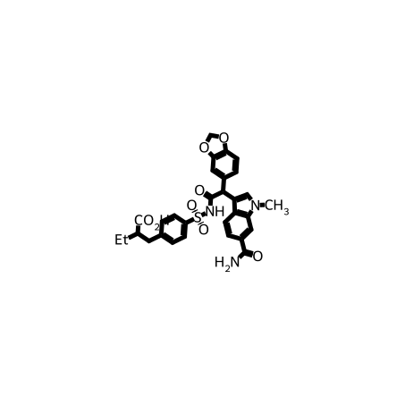 CCC(Cc1ccc(S(=O)(=O)NC(=O)C(c2ccc3c(c2)OCO3)c2cn(C)c3cc(C(N)=O)ccc23)cc1)C(=O)O